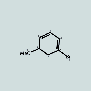 COC1C=CC=C(Br)C1